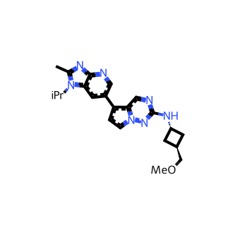 COC[C@H]1C[C@H](Nc2ncc3c(-c4cnc5nc(C)n(C(C)C)c5c4)ccn3n2)C1